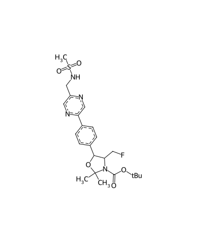 CC(C)(C)OC(=O)N1C(CF)C(c2ccc(-c3cnc(CNS(C)(=O)=O)cn3)cc2)OC1(C)C